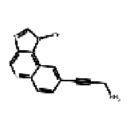 CC(C)n1cnc2cnc3ccc(C#CCN)cc3c21